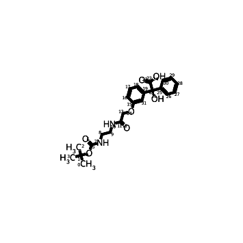 CC(C)(C)OC(=O)NCCNC(=O)COc1cccc([C@](O)(C(=O)O)c2ccccc2)c1